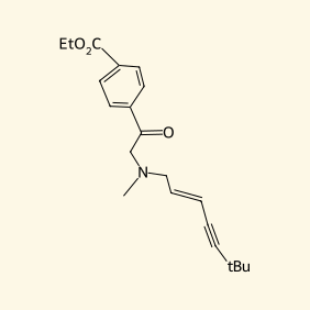 CCOC(=O)c1ccc(C(=O)CN(C)C/C=C/C#CC(C)(C)C)cc1